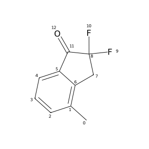 Cc1cccc2c1CC(F)(F)C2=O